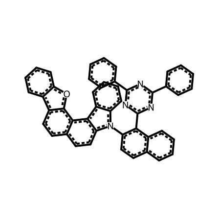 c1ccc(-c2nc(-c3ccccc3)nc(-c3c(-n4c5ccccc5c5c6c(ccc7c8ccccc8oc76)ccc54)ccc4ccccc34)n2)cc1